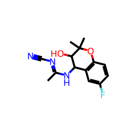 CC(=NC#N)NC1c2cc(F)ccc2OC(C)(C)C1O